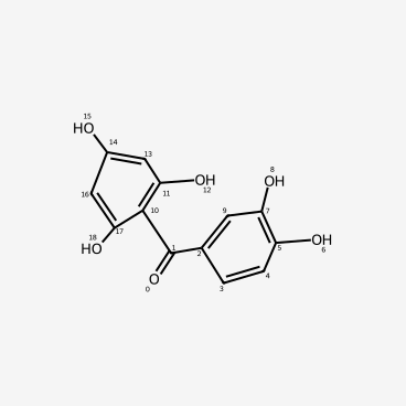 O=C(c1ccc(O)c(O)c1)c1c(O)cc(O)cc1O